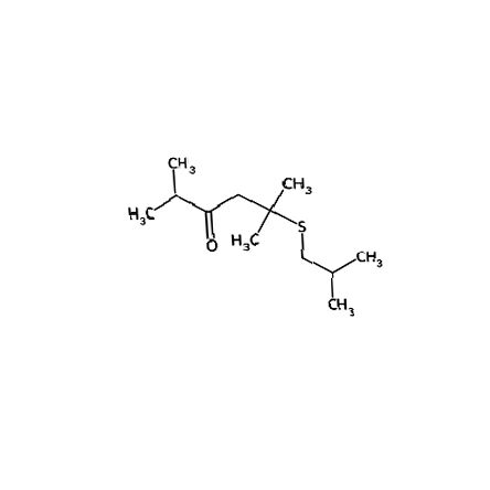 CC(C)CSC(C)(C)CC(=O)C(C)C